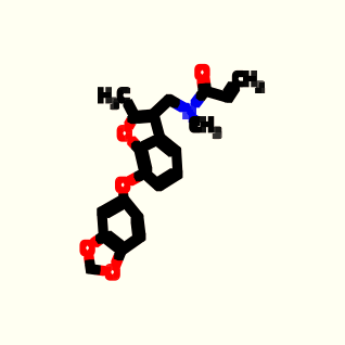 C=CC(=O)N(C)Cc1c(C)oc2c(Oc3ccc4c(c3)OCO4)cccc12